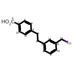 O=C(O)c1ccc(CCc2cccc(CI)c2)cc1